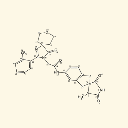 CN1C(=O)NC(=O)[C@@]12Cc1ccc(NC(=O)CN3C(=O)C4(CCOCC4)N=C3c3ccccc3C(F)(F)F)cc1C2